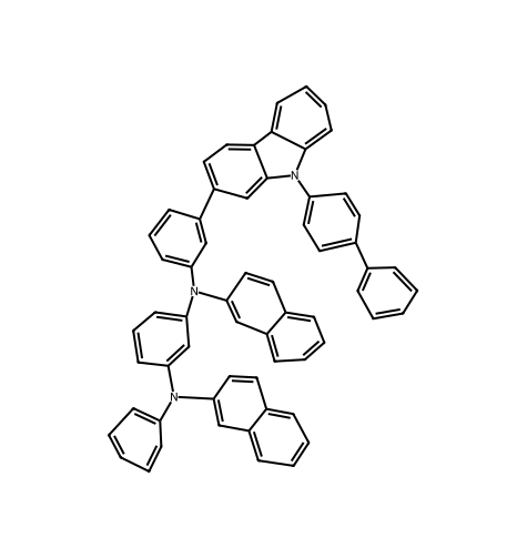 c1ccc(-c2ccc(-n3c4ccccc4c4ccc(-c5cccc(N(c6cccc(N(c7ccccc7)c7ccc8ccccc8c7)c6)c6ccc7ccccc7c6)c5)cc43)cc2)cc1